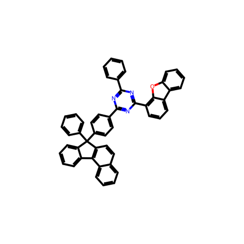 c1ccc(-c2nc(-c3ccc(C4(c5ccccc5)c5ccccc5-c5c4ccc4ccccc54)cc3)nc(-c3cccc4c3oc3ccccc34)n2)cc1